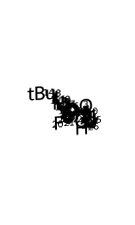 C[C@H](C(=O)N[C@H]1CCC2(CCN(CCC(C)(C)C)CC2)c2cc(F)ccc21)N1CCCC1=O